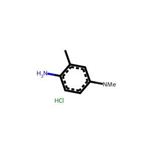 CNc1ccc(N)c(C)c1.Cl